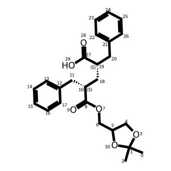 CC1(C)OCC(COC(=O)[C@H](Cc2ccccc2)C[C@@H](Cc2ccccc2)C(=O)O)O1